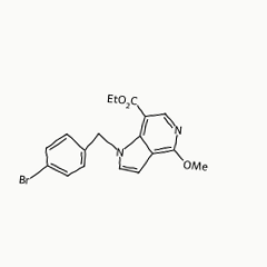 CCOC(=O)c1cnc(OC)c2ccn(Cc3ccc(Br)cc3)c12